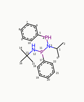 CC(C)N(Pc1ccccc1)P(NC(C)(C)C)c1ccccc1